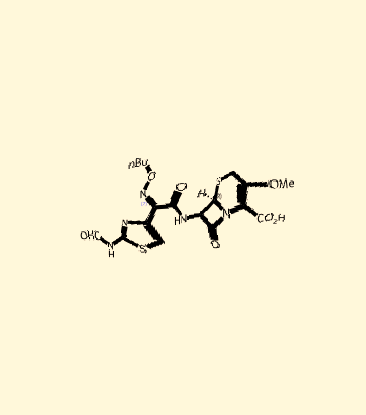 CCCCO/N=C(\C(=O)NC1C(=O)N2C(C(=O)O)=C(OC)CS[C@H]12)c1csc(NC=O)n1